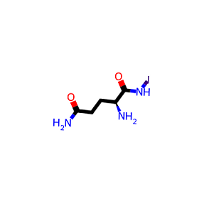 NC(=O)CC[C@H](N)C(=O)NI